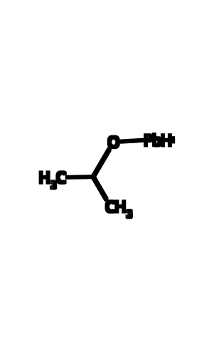 CC(C)[O][PbH]